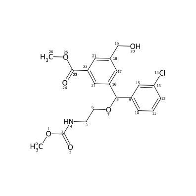 COC(=O)NCCOC(c1cccc(Cl)c1)c1cc(CO)cc(C(=O)OC)c1